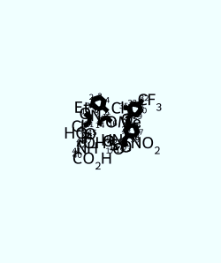 CCc1cccc(C)c1N(C(=O)CCl)C(C)COC.CS(=O)(=O)NC(=O)c1cc(Oc2ccc(C(F)(F)F)cc2Cl)ccc1[N+](=O)[O-].O=C(O)CNCP(=O)(O)O